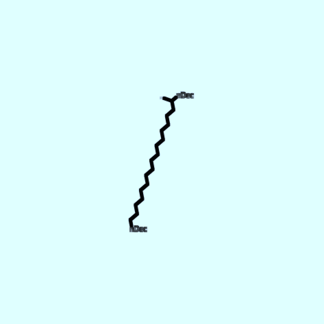 [CH2]C(CCCCCCCCCC)CCCCCCCCCCCCCCCCCCCCCCCCCC